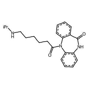 CC(C)NCCCCCC(=O)N1c2ccccc2NC(=O)c2ccccc21